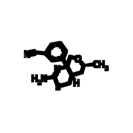 C[C@H]1C[C@H]2CSC(N)=NC2(c2cccc(C#N)c2)CO1